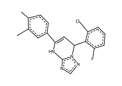 Cc1ccc(C2=CC(c3c(F)cccc3Cl)n3ncnc3N2)cc1C